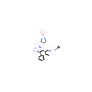 CC(C)(C)OC(=O)N1CCCC(Nc2nc(-c3ccnc(NCC4CC4)c3)c(-c3cccc(C(F)(F)F)c3)c3nncn23)C1